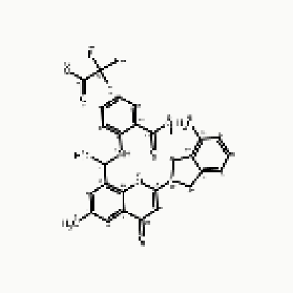 Cc1cc(C(C)Nc2ccccc2C(=O)O)c2oc(N3Cc4cccc(C)c4C3)cc(=O)c2c1.O=C(O)C(F)(F)F